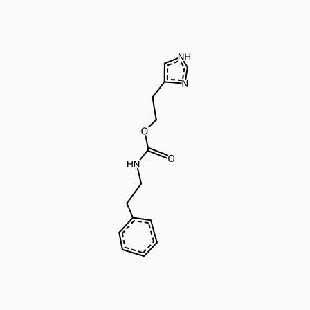 O=C(NCCc1ccccc1)OCCc1c[nH]cn1